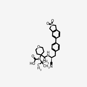 CC(C)(C)N(C(=O)O)C1(C(=O)N[C@H](C#N)Cc2ccc(-c3ccc4c(c3)CS(=O)(=O)C4)cc2)CCOCC1